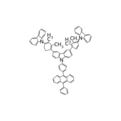 CC1=C(c2ccc3c(c2)c2cc(-c4ccc(-n5c6ccccc6c6ccccc65)c(C)c4C)ccc2n3-c2ccc(-c3c4ccccc4c(-c4ccccc4)c4ccccc34)cc2)CCC(n2c3ccccc3c3ccccc32)=C1C